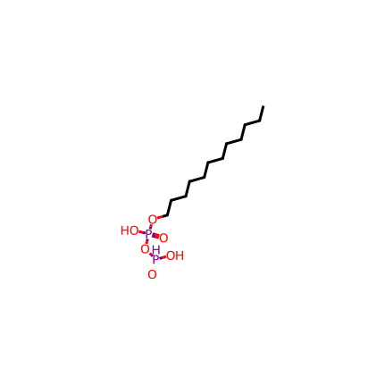 CCCCCCCCCCCCOP(=O)(O)O[PH](=O)O